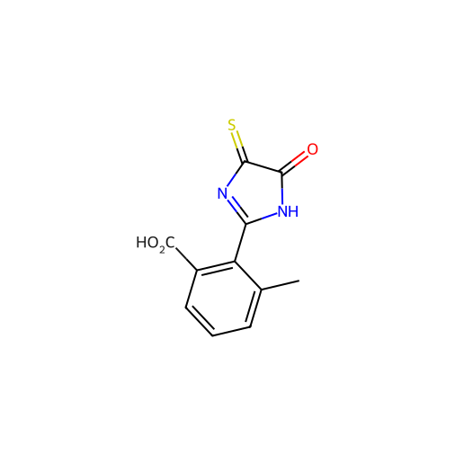 Cc1cccc(C(=O)O)c1C1=NC(=S)C(=O)N1